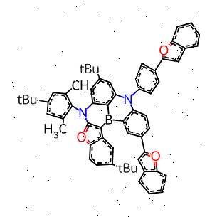 Cc1cc(C(C)(C)C)cc(C)c1N1c2cc(C(C)(C)C)cc3c2B(c2cc(-c4cc5ccccc5o4)ccc2N3c2ccc(-c3cc4ccccc4o3)cc2)c2c1oc1ccc(C(C)(C)C)cc21